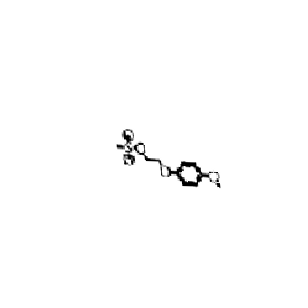 COc1ccc(OCCOS(C)(=O)=O)cc1